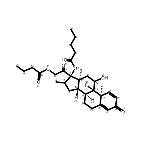 CCCCC(=O)O[C@]1(C(=O)COC(=O)CCC)C(C)C[C@H]2[C@@H]3CCC4=CC(=O)C=C[C@]4(C)[C@@]3(F)C(O)C[C@@]21C